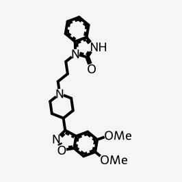 COc1cc2onc(C3CCN(CCCn4c(=O)[nH]c5ccccc54)CC3)c2cc1OC